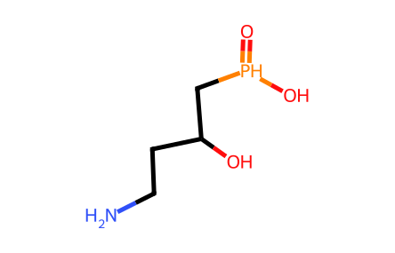 NCCC(O)C[PH](=O)O